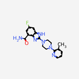 Cc1cccnc1N1CCN(c2nc3c(C(N)=O)cc(F)cc3[nH]2)CC1